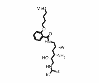 CCC(CC)NC[C@H](O)[C@@H](N)C[C@H](CNC(=O)c1ccccc1OCCCCOC)C(C)C